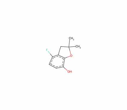 CC1(C)Cc2c(F)ccc(O)c2O1